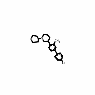 Cc1cc(-c2ccc(Cl)cc2)ccc1C1CCCN(C2CCOCC2)C1